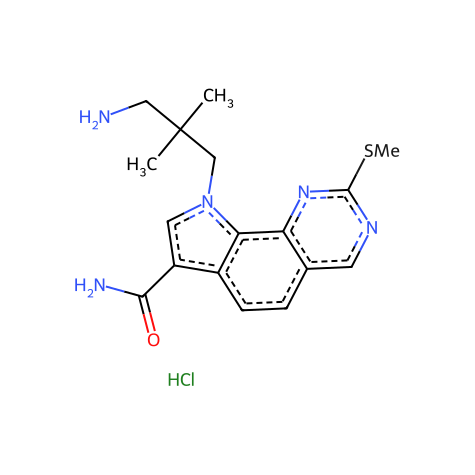 CSc1ncc2ccc3c(C(N)=O)cn(CC(C)(C)CN)c3c2n1.Cl